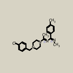 C/N=C(\N=C(/C)N1CCN(Cc2ccc(Cl)cc2)CC1)c1ccc(C)cc1